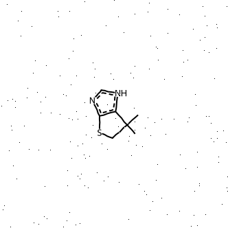 CC1(C)CSc2nc[nH]c21